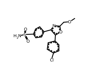 COCc1nc(-c2ccc(S(N)(=O)=O)cc2)c(-c2ccc(Cl)cc2)o1